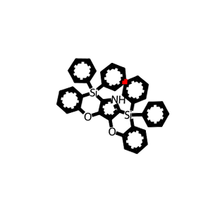 c1ccc([Si]2(c3ccccc3)c3ccccc3Oc3c2[nH]c2c3Oc3ccccc3[Si]2(c2ccccc2)c2ccccc2)cc1